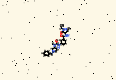 CC(C)CC(NC(=O)c1cccc(NC(=O)N(C)C2CCN(Cc3ccccc3)C2)c1)C(=O)NCC#N